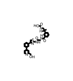 CC(C)(CNC(=O)O)c1cccc(C(=O)NCC(=O)Nc2nc(-c3cccc(-c4ccnc(CO)c4)c3)cs2)c1